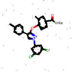 COC(=O)c1ccc(Oc2nn(-c3cc(Cl)cc(Cl)c3)cc2-c2ccc(C)cc2)c(C)c1